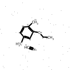 C#N.CCOc1cc(C)ccc1C